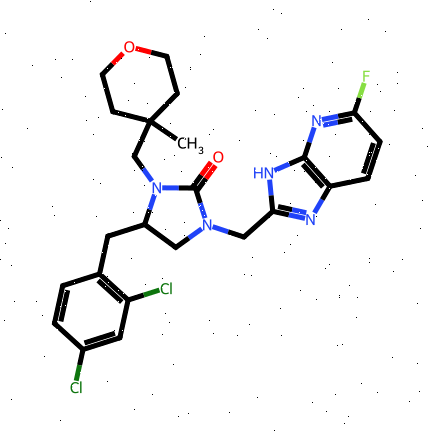 CC1(CN2C(=O)N(Cc3nc4ccc(F)nc4[nH]3)CC2Cc2ccc(Cl)cc2Cl)CCOCC1